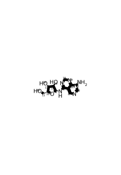 NN1C=NC=C2C(N[C@@H]3O[C@H](CO)[C@@H](O)[C@H]3O)=NCN=C21